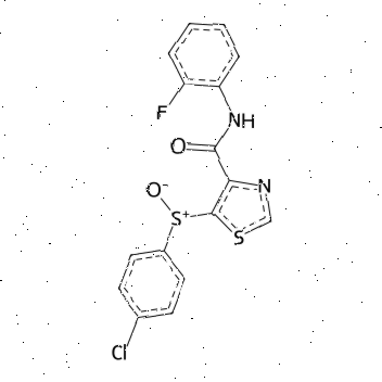 O=C(Nc1ccccc1F)c1ncsc1[S+]([O-])c1ccc(Cl)cc1